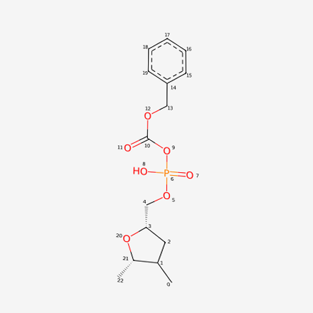 CC1C[C@@H](COP(=O)(O)OC(=O)OCc2ccccc2)O[C@H]1C